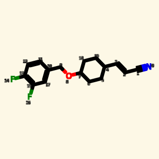 N#CC=CC1CCC(OCc2ccc(F)c(F)c2)CC1